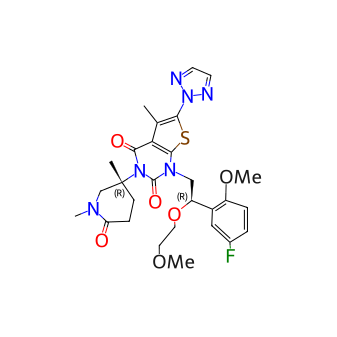 COCCO[C@@H](Cn1c(=O)n([C@]2(C)CCC(=O)N(C)C2)c(=O)c2c(C)c(-n3nccn3)sc21)c1cc(F)ccc1OC